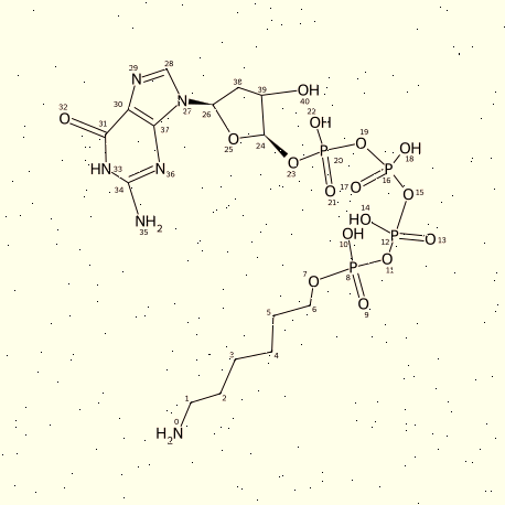 NCCCCCCOP(=O)(O)OP(=O)(O)OP(=O)(O)OP(=O)(O)O[C@H]1O[C@@H](n2cnc3c(=O)[nH]c(N)nc32)CC1O